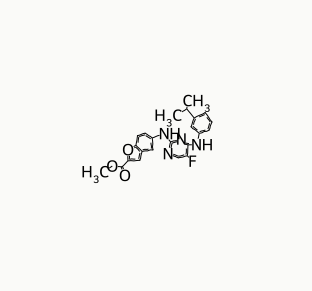 COC(=O)c1cc2cc(Nc3ncc(F)c(Nc4cccc(C(C)C)c4)n3)ccc2o1